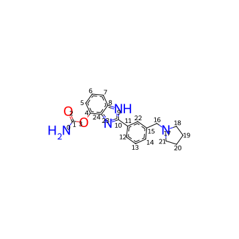 NC(=O)Oc1cccc2[nH]c(-c3cccc(CN4CCCC4)c3)nc12